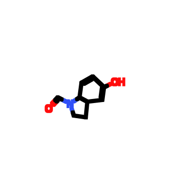 O=CN1CCC2C=C(O)C=CC21